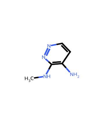 CNc1nnccc1N